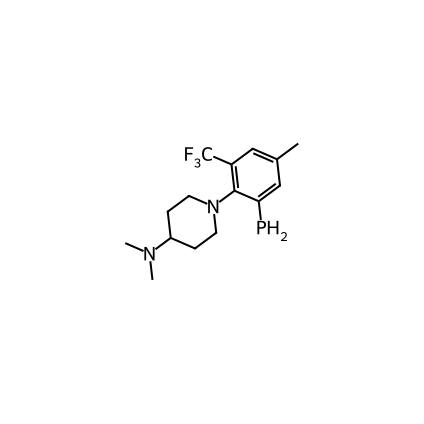 Cc1cc(P)c(N2CCC(N(C)C)CC2)c(C(F)(F)F)c1